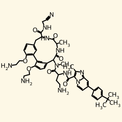 Cc1nc2cc(-c3ccc(C(C)(C)C)cc3)ccn2c1C(=O)NC(CCN)C(=O)N(C)C1C(=O)NC(C)C(=O)NC(C(=O)NCC#N)Cc2ccc(OCCN)c(c2)-c2cc1ccc2OCCN